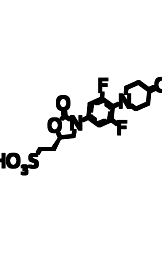 O=C1CCN(c2c(F)cc(N3C[C@@H](CCS(=O)(=O)O)OC3=O)cc2F)CC1